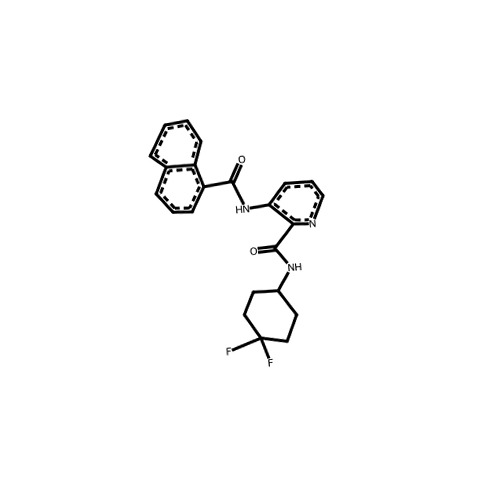 O=C(NC1CCC(F)(F)CC1)c1ncccc1NC(=O)c1cccc2ccccc12